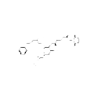 CC(=O)OC(CNCc1ccccc1)COC1OC(CN=[N+]=[N-])C(C)C(C)C1NC(=O)CCCC(=O)ON1C(=O)CCC1=O